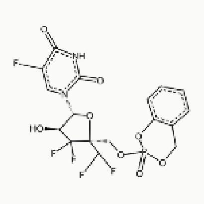 O=c1[nH]c(=O)n([C@@H]2O[C@@](COP3(=O)OCc4ccccc4O3)(C(F)F)C(F)(F)[C@H]2O)cc1F